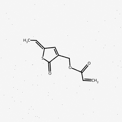 C=CC(=O)OCC1=C/C(=C/C)SC1=O